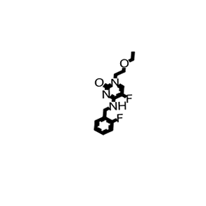 CCOCCn1cc(F)c(NCc2ccccc2F)nc1=O